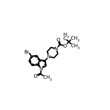 CC(=O)n1cc(N2CCN(C(=O)OC(C)(C)C)CC2)c2cc(Br)ccc21